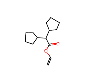 C=COC(=O)C(C1CCCC1)C1CCCC1